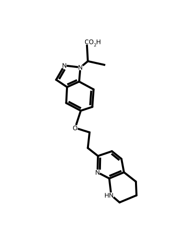 CC(C(=O)O)n1ncc2cc(OCCc3ccc4c(n3)NCCC4)ccc21